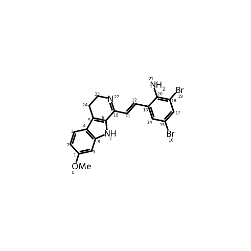 COc1ccc2c3c([nH]c2c1)C(/C=C/c1cc(Br)cc(Br)c1N)=NCC3